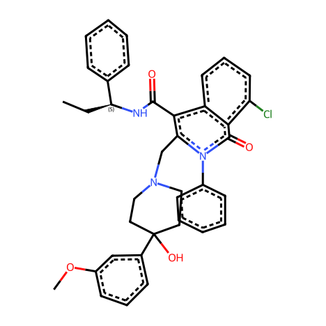 CC[C@H](NC(=O)c1c(CN2CCC(O)(c3cccc(OC)c3)CC2)n(-c2ccccc2)c(=O)c2c(Cl)cccc12)c1ccccc1